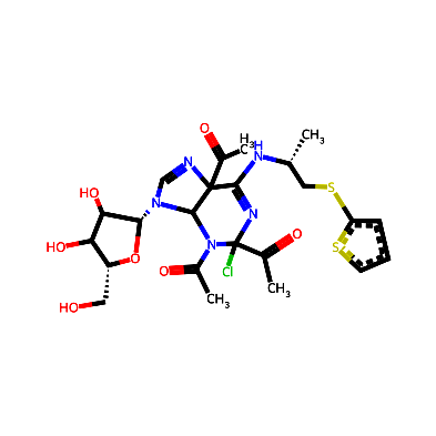 CC(=O)N1C2N([C@@H]3O[C@H](CO)C(O)C3O)C=NC2(C(C)=O)C(N[C@H](C)CSc2cccs2)=NC1(Cl)C(C)=O